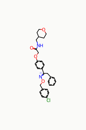 O=C(COc1ccc(/C(Cc2ccccc2)=N/OCc2ccc(Cl)cc2)cc1)NCC1CCOCC1